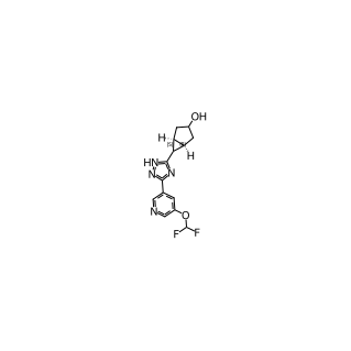 OC1C[C@@H]2C(c3nc(-c4cncc(OC(F)F)c4)n[nH]3)[C@@H]2C1